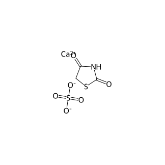 O=C1CSC(=O)N1.O=S(=O)([O-])[O-].[Ca+2]